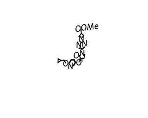 COC(=O)C1CN(c2ncc(N3CC[C@@H](Oc4ccc(OCC5CC5)nc4)C3=O)cn2)C1